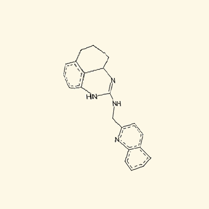 c1cc2c3c(c1)NC(NCc1ccc4ccccc4n1)=NC3CCC2